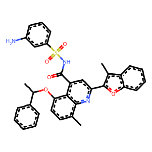 Cc1c(-c2cc(C(=O)NS(=O)(=O)c3cccc(N)c3)c3c(OC(C)c4ccccc4)ccc(C)c3n2)oc2ccccc12